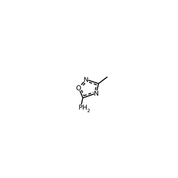 Cc1noc(P)n1